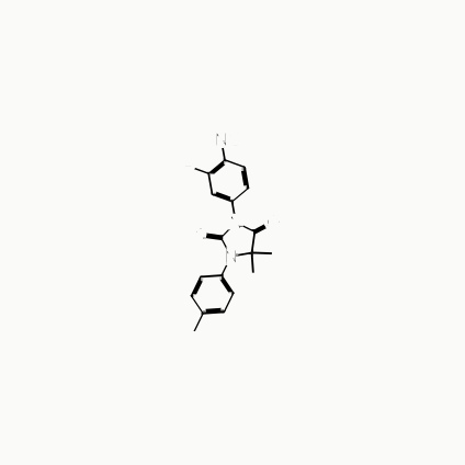 [C-]#[N+]c1ccc(N2C(=O)C(C)(C)N(c3ccc(C)cc3)C2=S)cc1F